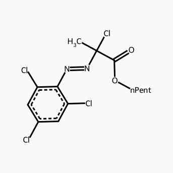 CCCCCOC(=O)C(C)(Cl)N=Nc1c(Cl)cc(Cl)cc1Cl